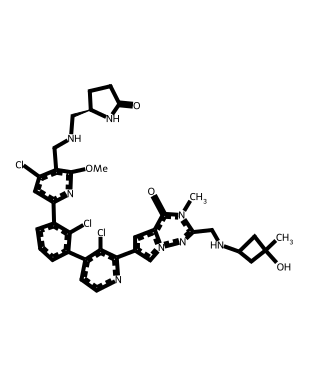 COc1nc(-c2cccc(-c3ccnc(-c4cc5c(=O)n(C)c(CNC6CC(C)(O)C6)nn5c4)c3Cl)c2Cl)cc(Cl)c1CNC[C@H]1CCC(=O)N1